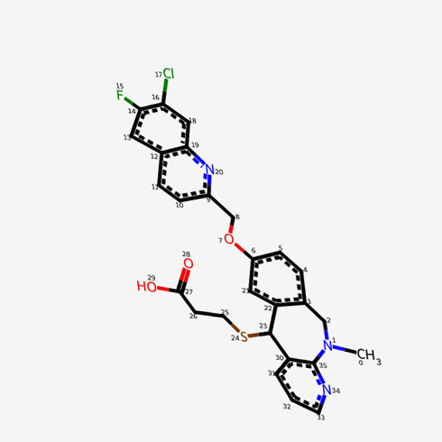 CN1Cc2ccc(OCc3ccc4cc(F)c(Cl)cc4n3)cc2C(SCCC(=O)O)c2cccnc21